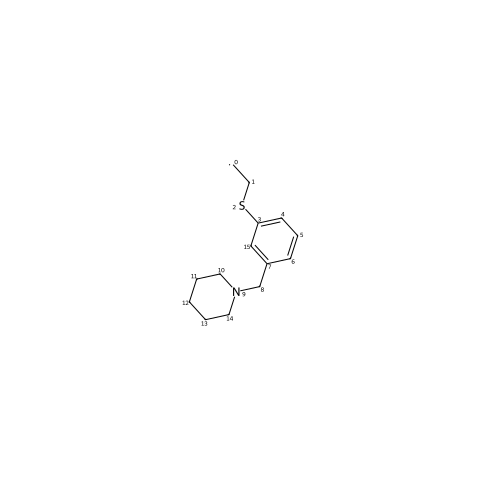 [CH2]CSc1cccc(CN2CCCCC2)c1